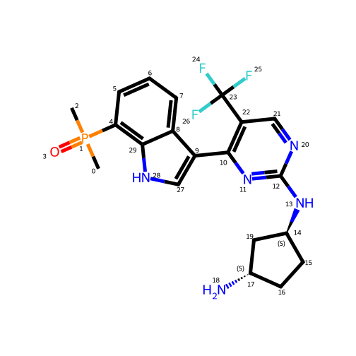 CP(C)(=O)c1cccc2c(-c3nc(N[C@H]4CC[C@H](N)C4)ncc3C(F)(F)F)c[nH]c12